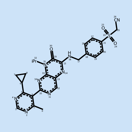 Cc1ncnc(C2CC2)c1-c1ncc2nc(NCc3ccc(S(=O)(=O)CC#N)cc3)c(=O)n(C(C)C)c2n1